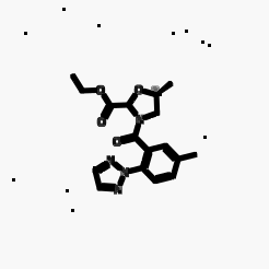 CCOC(=O)C1O[C@@H](C)CN1C(=O)c1cc(C)ccc1-n1nccn1